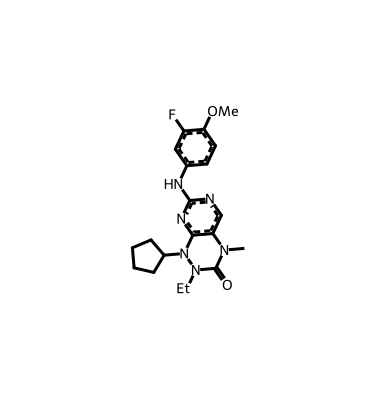 CCN1C(=O)N(C)c2cnc(Nc3ccc(OC)c(F)c3)nc2N1C1CCCC1